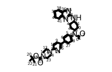 CC(=O)N(c1ccc(-c2ccc(N3CCN(C(=O)OC(C)(C)C)CC3)nc2)cc1)C1CCC(Nc2ncc3ccccc3n2)CC1